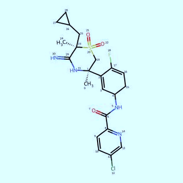 C[C@@]1(C2=CC(NC(=O)c3ccc(Cl)cn3)CC=C2F)CS(=O)(=O)[C@](C)(CC2CC2)C(=N)N1